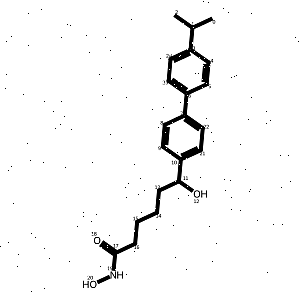 CC(C)c1ccc(-c2ccc(C(O)CCCCC(=O)NO)cc2)cc1